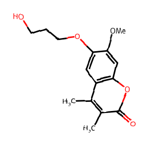 COc1cc2oc(=O)c(C)c(C)c2cc1OCCCO